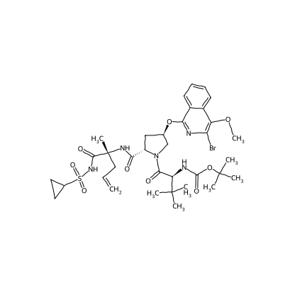 C=CC[C@@](C)(NC(=O)[C@@H]1C[C@@H](Oc2nc(Br)c(OC)c3ccccc23)CN1C(=O)[C@@H](NC(=O)OC(C)(C)C)C(C)(C)C)C(=O)NS(=O)(=O)C1CC1